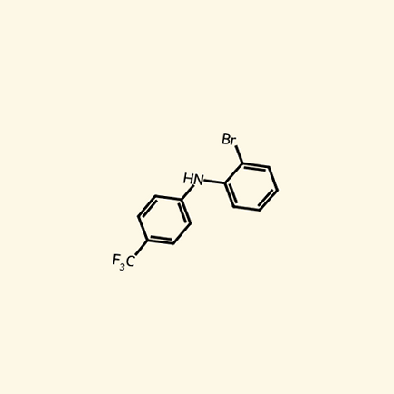 FC(F)(F)c1ccc(Nc2ccccc2Br)cc1